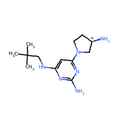 CC(C)(C)CNc1cc(N2CC[C@@H](N)C2)nc(N)n1